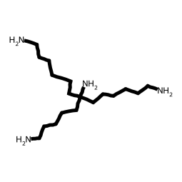 NCCCCCCC(N)(CCCCCN)CCCCCCN